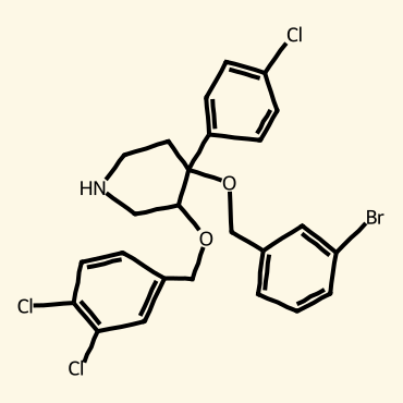 Clc1ccc(C2(OCc3cccc(Br)c3)CCNCC2OCc2ccc(Cl)c(Cl)c2)cc1